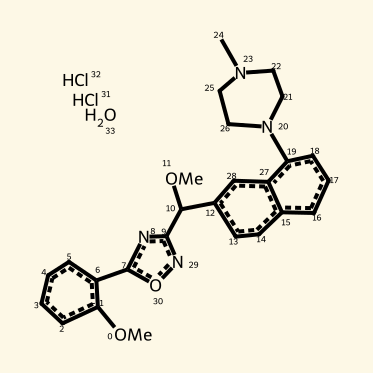 COc1ccccc1-c1nc(C(OC)c2ccc3cccc(N4CCN(C)CC4)c3c2)no1.Cl.Cl.O